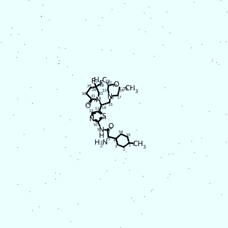 CC1CCC([C@H](N)C(=O)Nc2ncc(C(CN3C[C@@H](C)O[C@H](C)C3)N3CC(F)(F)CCC3=O)s2)CC1